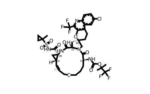 CC(C)(OC(=O)N[C@H]1CCCCC/C=C\[C@@H]2C[C@@]2(C(=O)NS(=O)(=O)C2(C)CC2)NC(=O)[C@@H]2C[C@]3(CCc4c(c(C(F)(F)F)nc5ccc(Cl)cc45)O3)CN2C1=O)C(F)(F)F